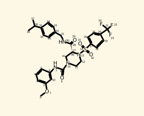 COc1cccc(NC(=O)N2CCN(S(=O)(=O)c3ccc(C(F)(F)F)cc3)[C@@H](C(=O)NCc3ccc(C(C)C)cc3)C2)c1